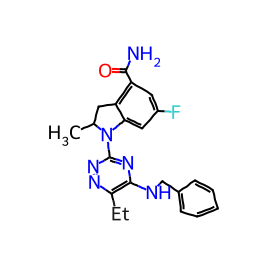 CCc1nnc(N2c3cc(F)cc(C(N)=O)c3CC2C)nc1NCc1ccccc1